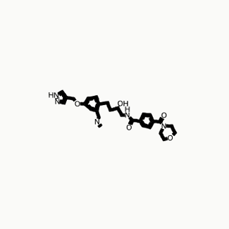 C=NCc1cc(OCc2cn[nH]c2)ccc1CC[C@H](O)CNC(=O)c1ccc(C(=O)N2CCOCC2)cc1